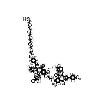 COc1ccc(C2=CN3C(=O)c4cc(OC)c(OCCCOc5cc6c(cc5OC)C(=O)N5C=C(c7ccc(OCCOCCOCCOCCOCCOCCO)cc7)CC5C(O[Si](C)(C)C(C)(C)C)N6C(=O)OCC(Cl)(Cl)Cl)cc4N(C(=O)OCC(Cl)(Cl)Cl)C(C)C3C2)cc1